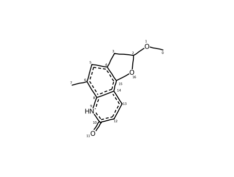 COC1Cc2cc(C)c3[nH]c(=O)ccc3c2O1